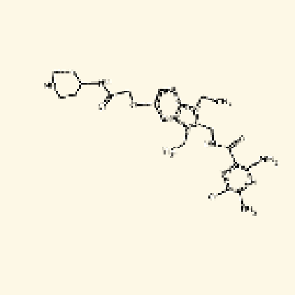 CCn1c(CNC(=O)c2nc(Cl)c(N)nc2N)[n+](CC)c2ccc(OCC(=O)NC3CCNCC3)cc21